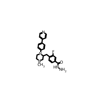 CN1CCN(c2ccc(-c3ccncc3)cc2)C(Cc2ccc(C(=O)NN)cc2F)C1